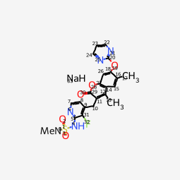 CNS(=O)(=O)Nc1nccc(Cc2c(C)c3cc(C)c(Oc4ncccn4)cc3oc2=O)c1F.[NaH]